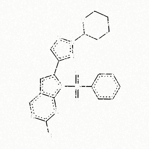 O=S(=O)(c1ccccc1)n1c(-c2cnn(C3CCCCO3)n2)cc2cnc(Cl)nc21